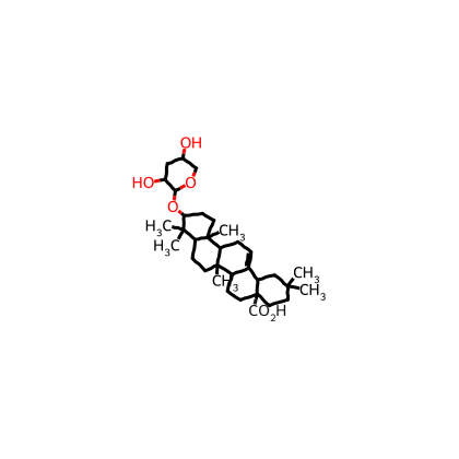 CC1(C)CCC2(C(=O)O)CCC3C(=CCC4C3(C)CCC3C(C)(C)C(OC5OCC(O)CC5O)CCC34C)C2C1